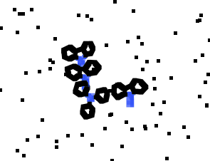 c1ccc(N(c2ccccc2)c2ccccc2)cc1.c1ccc2c(c1)[nH]c1ccccc12.c1ccc2c(c1)[nH]c1ccccc12.c1ccc2c(c1)[nH]c1ccccc12